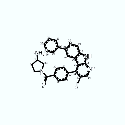 NC1CCN(C(=O)c2ccc(-c3c(F)cnc4[nH]c5cnc(-c6cccnc6)cc5c34)cc2)C1